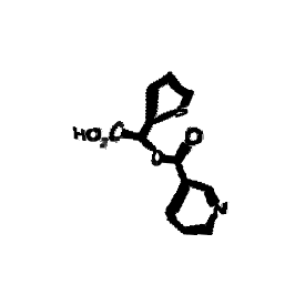 O=C(OC(C(=O)O)c1cccs1)c1cccnc1